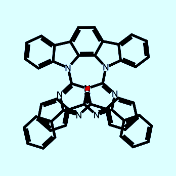 c1ccc(-c2nc(-c3ccccc3)nc(-n3c4ccccc4c4ccc5c6ccccc6n(-c6nc(-c7ccccc7)nc(-c7ccccc7)n6)c5c43)n2)cc1